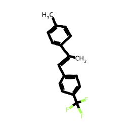 C/C(=C\c1ccc(C(F)(F)F)cc1)c1ccc(C)cc1